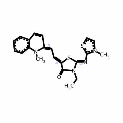 CCN1C(=O)/C(=C/C=C2/C=Cc3ccccc3N2C)S/C1=N\c1scc[n+]1C